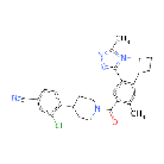 Cc1nnc(-c2cc(C(=O)N3CCC(c4ccc(C#N)cc4Cl)CC3)c(C)cc2C2CCC2)[nH]1